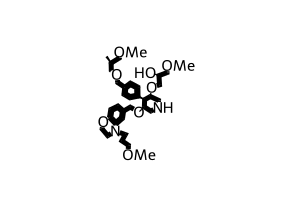 COCCCN1CCOc2ccc(CO[C@H]3CNC[C@@H](OC[C@H](O)COC)[C@@H]3c3ccc(COC[C@@H](C)COC)cc3)cc21